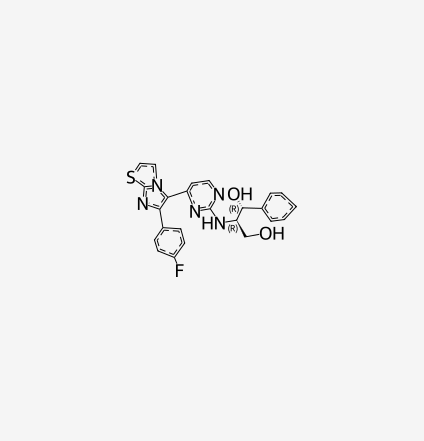 OC[C@@H](Nc1nccc(-c2c(-c3ccc(F)cc3)nc3sccn23)n1)[C@H](O)c1ccccc1